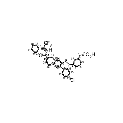 O=C(O)Cc1cccc(CCc2nc3cc(C(=O)N[C@@H](c4ccccc4)C(F)(F)F)ccc3nc2-c2ccc(Cl)cc2)c1